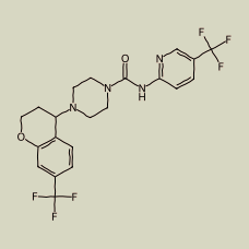 O=C(Nc1ccc(C(F)(F)F)cn1)N1CCN(C2CCOc3cc(C(F)(F)F)ccc32)CC1